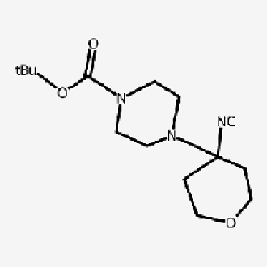 [C-]#[N+]C1(N2CCN(C(=O)OC(C)(C)C)CC2)CCOCC1